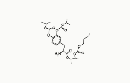 CCCCOC(=O)OC(C)[C@H](C)OC(=O)[C@@H](N)Cc1ccc(OC(=O)OC(C)C)c(OC(=O)OC(C)C)c1